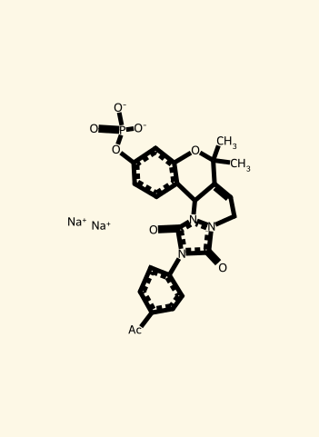 CC(=O)c1ccc(-n2c(=O)n3n(c2=O)C2C(=CC3)C(C)(C)Oc3cc(OP(=O)([O-])[O-])ccc32)cc1.[Na+].[Na+]